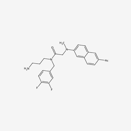 CC(=O)c1ccc2cc(N(C)CC(=O)N(CCCN)Cc3ccc(F)c(F)c3)ccc2c1